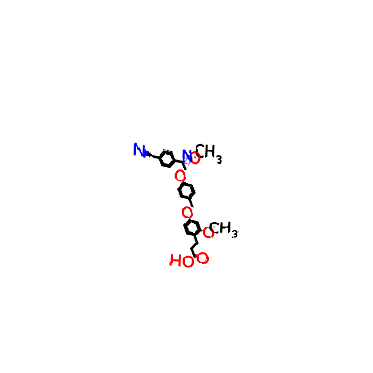 CO/N=C(\COc1ccc(COc2ccc(CCC(=O)O)c(OC)c2)cc1)c1ccc(C#N)cc1